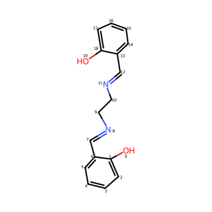 Oc1ccccc1C=NCCN=Cc1ccccc1O